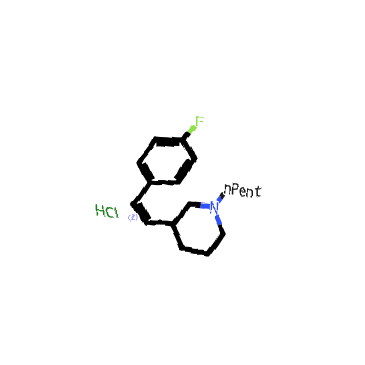 CCCCCN1CCCC(/C=C\c2ccc(F)cc2)C1.Cl